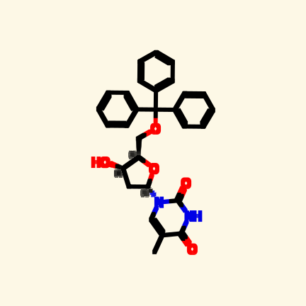 Cc1cn([C@@H]2C[C@@H](O)[C@@H](COC(c3ccccc3)(c3ccccc3)c3ccccc3)O2)c(=O)[nH]c1=O